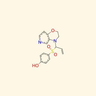 C=CC(N1CCOc2ccncc21)S(=O)(=O)c1ccc(O)cc1